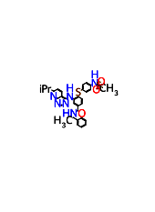 CC(C)c1ccc2c(Nc3cc(C(=O)N[C@@H](C)c4ccccc4)ccc3Sc3ccc(NS(C)(=O)=O)cc3)ncnc2n1